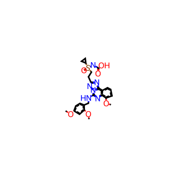 COc1ccc(CNc2nc3c(OC)cccc3c3nc(CCS(=O)(=NC(=O)O)C4CC4)nn23)c(OC)c1